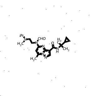 Cc1cc(N(C=O)CCN(C)C(C)C)nc2c(C(=O)NC(C)(C)C3CC3)cnn12